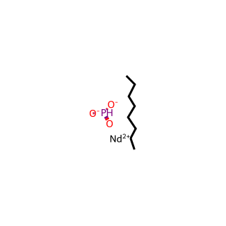 CCCCCC[CH](C)[Nd+2].O=[PH]([O-])[O-]